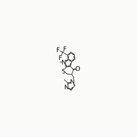 Cc1nccn1CC1CSc2c(c3cccc(C(F)(F)F)c3n2C)C1=O